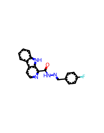 O=C(NN=Cc1ccc(F)cc1)c1nccc2c1[nH]c1ccccc12